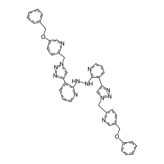 c1ccc(COc2ccc(Cn3cc(-c4cccnc4NNc4ncccc4-c4cn(Cc5ccc(COc6ccccc6)cn5)nn4)nn3)nc2)cc1